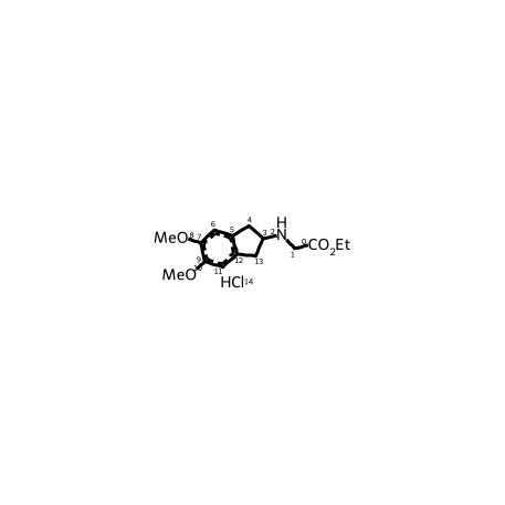 CCOC(=O)CNC1Cc2cc(OC)c(OC)cc2C1.Cl